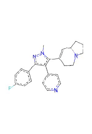 Cn1nc(-c2ccc(F)cc2)c(-c2ccncc2)c1C1=CC2CCCN2CC1